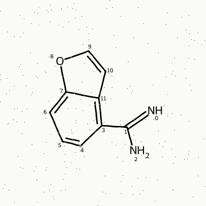 N=C(N)c1cccc2occc12